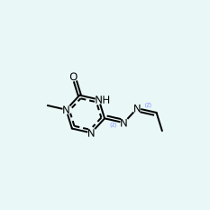 C/C=N\N=c1\ncn(C)c(=O)[nH]1